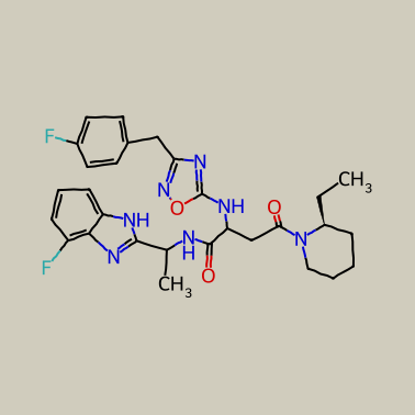 CC[C@H]1CCCCN1C(=O)CC(Nc1nc(Cc2ccc(F)cc2)no1)C(=O)NC(C)c1nc2c(F)cccc2[nH]1